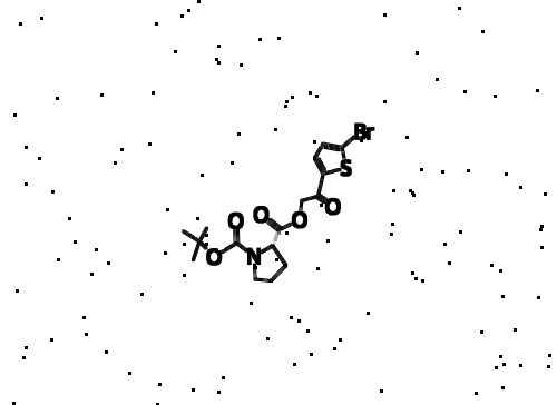 CC(C)(C)OC(=O)N1CCC[C@H]1C(=O)OCC(=O)c1ccc(Br)s1